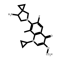 Cc1c(N2CC(N)C3(CC3)C2)c(F)cc2c(=O)c(OC(=O)O)cn(C3CC3)c12